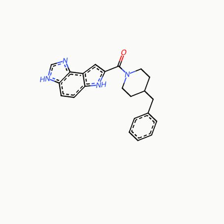 O=C(c1cc2c(ccc3[nH]cnc32)[nH]1)N1CCC(Cc2ccccc2)CC1